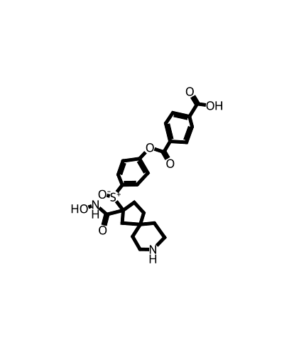 O=C(O)c1ccc(C(=O)Oc2ccc([S+]([O-])C3(C(=O)NO)CCC4(CCNCC4)C3)cc2)cc1